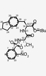 C[C@H](NS(=O)(=O)c1ccccc1[N+](=O)[O-])C(=O)N[C@@H](Cc1ccc2c(c1)CCC2)C(=O)OC(C)(C)C